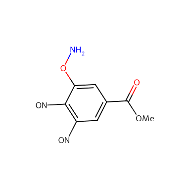 COC(=O)c1cc(N=O)c(N=O)c(ON)c1